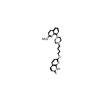 CNc1ccc2cccc(N3CCN(CCCCOc4ccc5ccc(=O)[nH]c5n4)CC3)c2n1